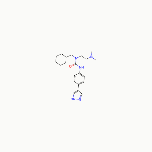 CN(C)CCN(CC1CCCCC1)C(=O)Nc1ccc(-c2cn[nH]c2)cc1